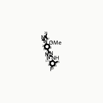 COc1cc(-c2nc(Nc3ccc(F)cc3C)n(C)n2)ccc1-n1cnc(C)c1